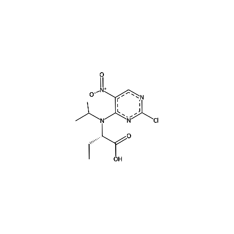 CC[C@@H](C(=O)O)N(c1nc(Cl)ncc1[N+](=O)[O-])C(C)C